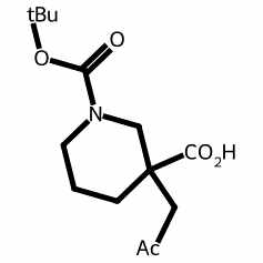 CC(=O)CC1(C(=O)O)CCCN(C(=O)OC(C)(C)C)C1